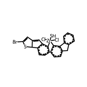 [SH][Zr]([Cl])([Cl])([c]1cccc2c1C=C1C=C(Br)SC12)[c]1cccc2c1-c1ccccc1C2